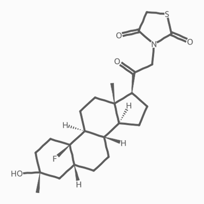 C[C@@]1(O)CC[C@@]2(F)[C@H](CC[C@H]3[C@@H]4CC[C@H](C(=O)CN5C(=O)CSC5=O)[C@@]4(C)CC[C@@H]32)C1